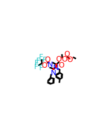 CCOC(=O)OC(C)OC(=O)CCCN(Cc1ccccc1)c1cc(C)ccc1CN1CCN(C(=O)OC(C(F)(F)F)C(F)(F)F)CC1